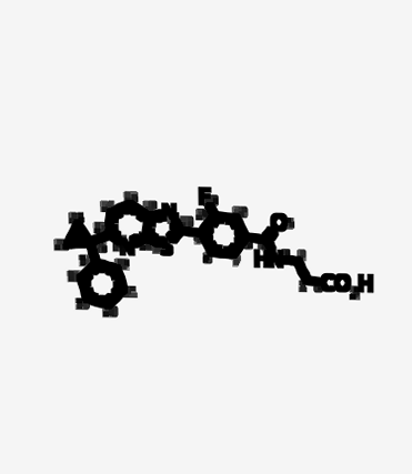 O=C(O)CCNC(=O)c1ccc(-c2nc3ccc(C4(c5ccccc5)C=C4)nc3s2)c(F)c1